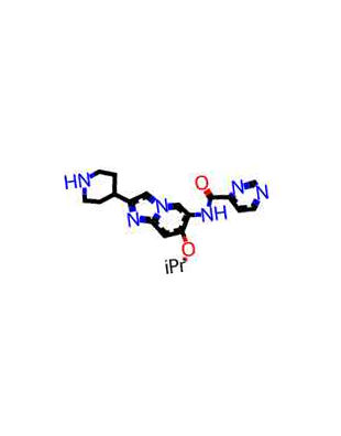 CC(C)Oc1cc2nc(C3CCNCC3)cn2cc1NC(=O)c1ccncn1